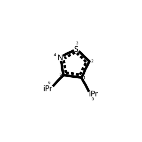 CC(C)c1csnc1C(C)C